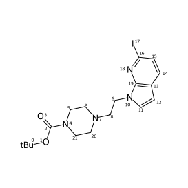 CC(C)(C)OC(=O)N1CCN(CCn2ccc3ccc(I)nc32)CC1